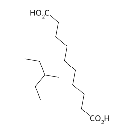 CCC(C)CC.O=C(O)CCCCCCCCC(=O)O